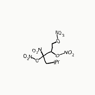 CC(C)CC(O[N+](=O)[O-])(C(CO[N+](=O)[O-])O[N+](=O)[O-])[N+](=O)[O-]